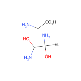 CCC(N)(O)C(N)O.NCC(=O)O